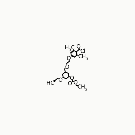 C#CCOC1CC(COCCOc2cc(C)c(C(=O)Cl)c(C)c2)CC(OC(=O)OC=C)C1